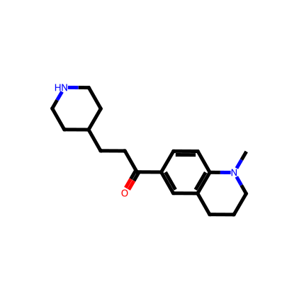 CN1CCCc2cc(C(=O)CCC3CCNCC3)ccc21